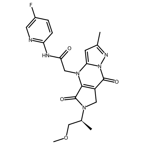 COC[C@H](C)N1Cc2c(n(CC(=O)Nc3ccc(F)cn3)c3cc(C)nn3c2=O)C1=O